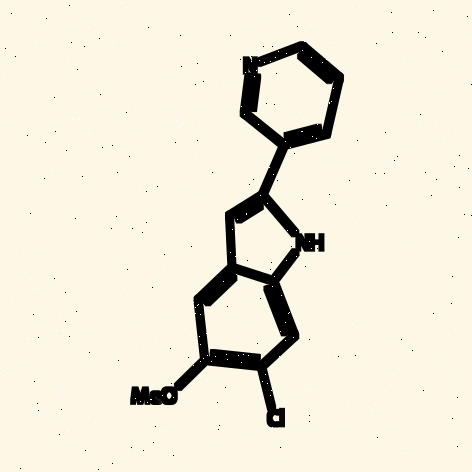 COc1cc2cc(-c3cccnc3)[nH]c2cc1Cl